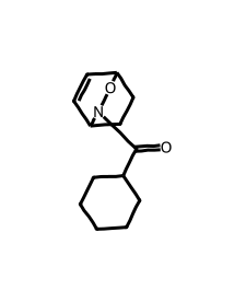 O=C(C1CCCCC1)N1OC2C=CC1CC2